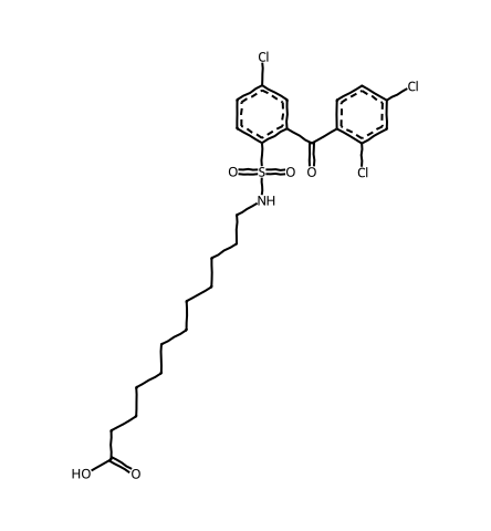 O=C(O)CCCCCCCCCCCNS(=O)(=O)c1ccc(Cl)cc1C(=O)c1ccc(Cl)cc1Cl